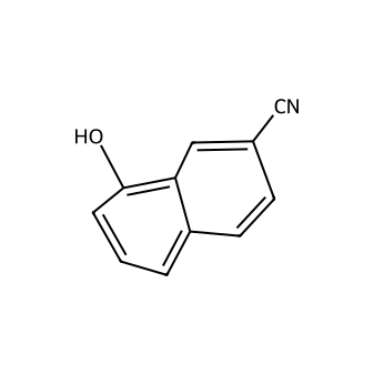 N#Cc1ccc2cccc(O)c2c1